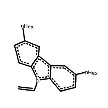 C=Cn1c2ccc(CCCCCC)cc2c2cc(CCCCCC)ccc21